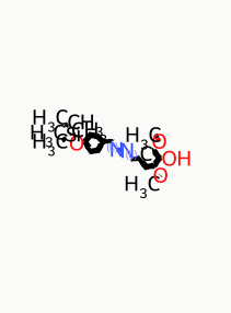 COc1cc(/C=N/N=C/c2ccc(O[Si](C)(C)C(C)(C)C)cc2)cc(OC)c1O